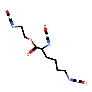 O=C=NCCCCC(N=C=O)C(=O)OCCN=C=O